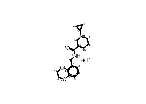 Cl.O=C(NCc1cccc2c1OCCO2)C1CCCN(C2CC2)C1